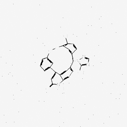 Cc1ncnn1[C@H]1c2ccc(Cl)c(c2)COc2cccc(c2)-c2cc(=O)n(C)c3ccc1cc23